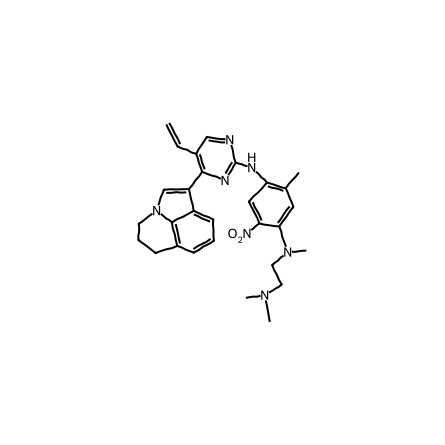 C=Cc1cnc(Nc2cc([N+](=O)[O-])c(N(C)CCN(C)C)cc2C)nc1-c1cn2c3c(cccc13)CCC2